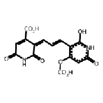 O=C1C=C(C(=O)O)C(=CC=Cc2c(OC(=O)O)cc(=O)[nH]c2O)C(=O)N1